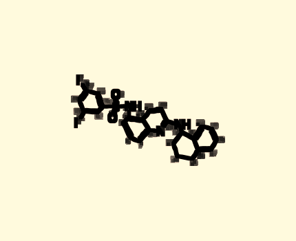 O=S(=O)(Nc1cccc2nc(NC3CCCc4ccccc43)ccc12)c1cc(F)cc(F)c1